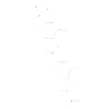 CC(=O)NCc1ccc(C(=O)Nc2c(Cl)cc(C(F)(C(F)(F)F)C(F)(F)F)cc2Cl)cc1Cl